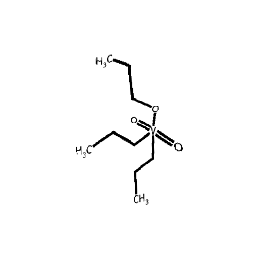 CCC[O][V](=[O])(=[O])([CH2]CC)[CH2]CC